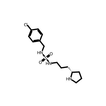 O=S(=O)(NCCC[C@@H]1CCCN1)NCc1ccc(Cl)cc1